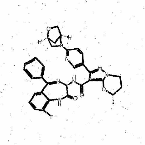 C[C@H]1CCn2nc(-c3ccc(N4C[C@@H]5C[C@H]4CO5)nc3)c(C(=O)N[C@@H]3N=C(c4ccccc4)c4cccc(F)c4NC3=O)c2O1